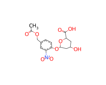 CC(=O)OCc1ccc(OC2CC(O)CC(C(=O)O)O2)c([N+](=O)[O-])c1